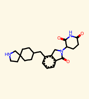 O=C1CCC(N2Cc3c(CC4CCC5(CCNC5)CC4)cccc3C2=O)C(=O)N1